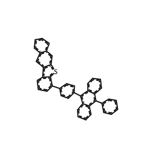 c1ccc(-c2c3ccccc3c(-c3ccc(-c4cccc5c4sc4cc6ccccc6cc45)cc3)c3ccccc23)cc1